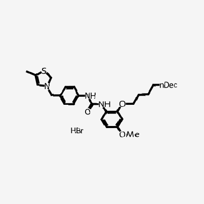 Br.CCCCCCCCCCCCCCOc1cc(OC)ccc1NC(=O)Nc1ccc(CN2C=C(C)SC2)cc1